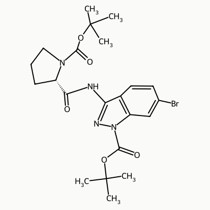 CC(C)(C)OC(=O)N1CCC[C@H]1C(=O)Nc1nn(C(=O)OC(C)(C)C)c2cc(Br)ccc12